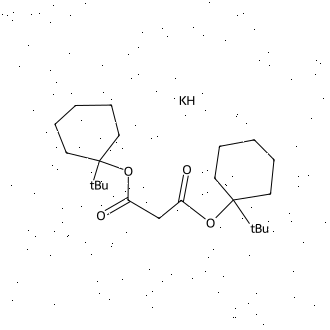 CC(C)(C)C1(OC(=O)CC(=O)OC2(C(C)(C)C)CCCCC2)CCCCC1.[KH]